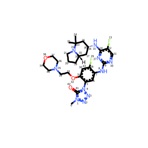 Cn1nnn(-c2cc(Nc3ncc(F)c(N[C@@H]4C[C@@H]5CCCN5C(C)(C)C4)n3)c(F)cc2OCCN2CCOCC2)c1=O